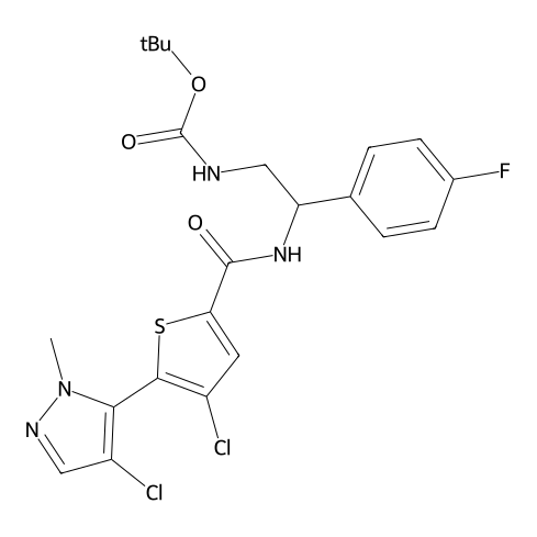 Cn1ncc(Cl)c1-c1sc(C(=O)NC(CNC(=O)OC(C)(C)C)c2ccc(F)cc2)cc1Cl